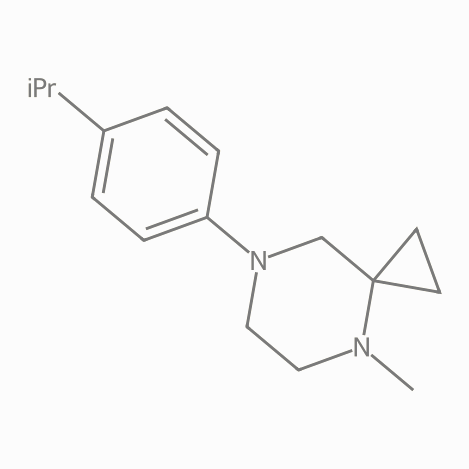 CC(C)c1ccc(N2CCN(C)C3(CC3)C2)cc1